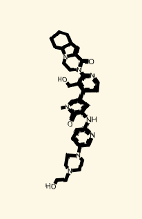 Cn1cc(-c2ccnc(N3CCN4C(=CC5CCCCC54)C3=O)c2CO)cc(Nc2ccc(N3CCN(CCO)CC3)cn2)c1=O